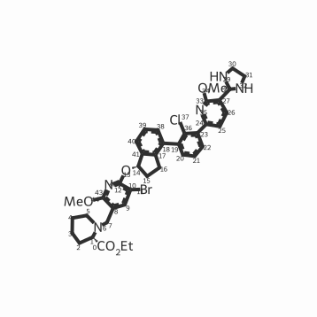 CCOC(=O)[C@@H]1CCCCN1Cc1cc(Br)c(O[C@H]2CCc3c(-c4cccc(-c5ccc(C6NCCN6)c(OC)n5)c4Cl)cccc32)nc1OC